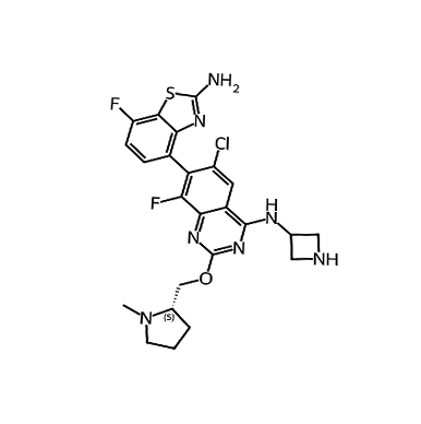 CN1CCC[C@H]1COc1nc(NC2CNC2)c2cc(Cl)c(-c3ccc(F)c4sc(N)nc34)c(F)c2n1